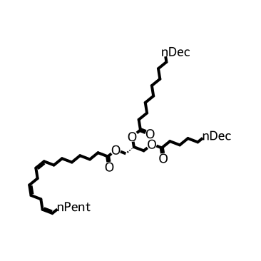 CCCCC/C=C\C/C=C\C/C=C\CCCCCCC(=O)OC[C@@H](COC(=O)CCCCCCCCCCCCCC)OC(=O)CCCCCCCCCCCCCCCCCC